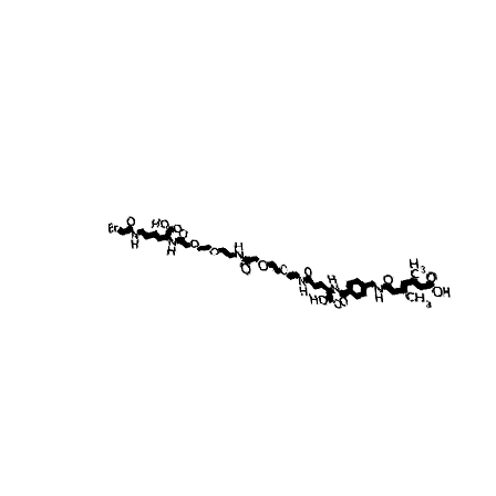 CC(CC(=O)O)CC(C)CC(=O)NCC1CCC(C(=O)NC(CCC(=O)NCCOCCOCC(=O)NCCOCCOCC(=O)NC(CCCCNC(=O)CBr)C(=O)O)C(=O)O)CC1